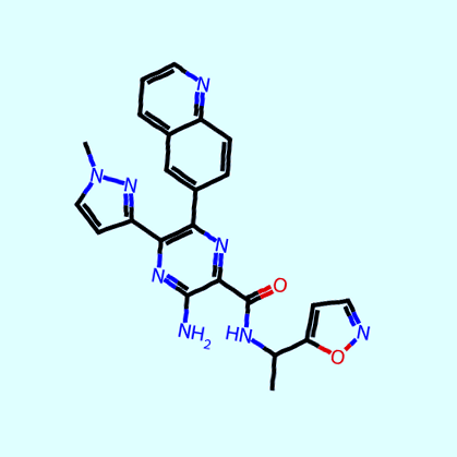 CC(NC(=O)c1nc(-c2ccc3ncccc3c2)c(-c2ccn(C)n2)nc1N)c1ccno1